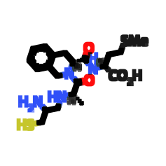 CSCC[C@H](NC(=O)[C@H]1Cc2ccccc2CN1C(=O)[C@H](C)NCC(N)CS)C(=O)O